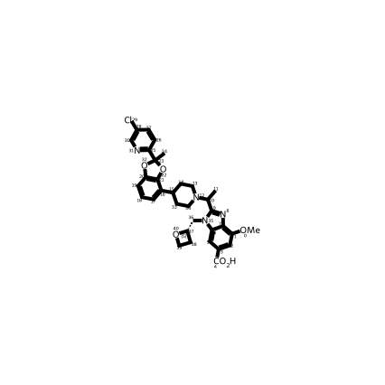 COc1cc(C(=O)O)cc2c1nc(C(C)N1CCC(c3cccc4c3OC(C)(c3ccc(Cl)cn3)O4)CC1)n2C[C@@H]1CCO1